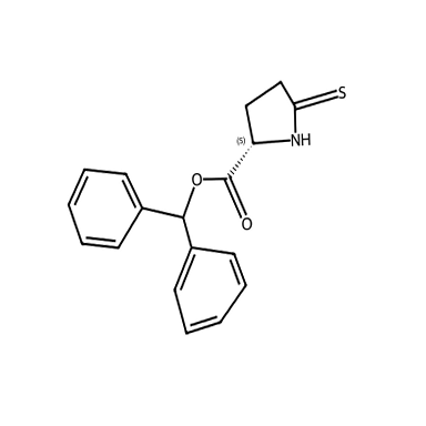 O=C(OC(c1ccccc1)c1ccccc1)[C@@H]1CCC(=S)N1